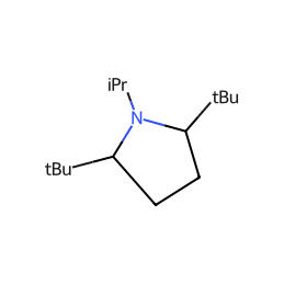 CC(C)N1C(C(C)(C)C)CCC1C(C)(C)C